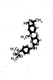 Cc1n[nH]c2cc(N(C)c3nc(Nc4ccc(N(C)S(C)(=O)=O)cc4)ncc3F)ccc12